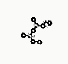 CC1(C)C2=CC(c3cc(-c4ccccc4)nc(-c4ccc(C5=NC(c6ccccc6)=CC(c6cccc(-c7ccccc7)c6)N5)cc4)n3)CC=C2Oc2ccccc21